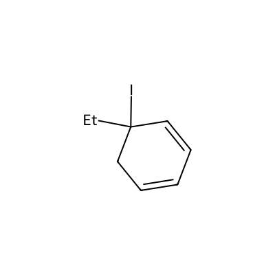 CCC1(I)C=CC=CC1